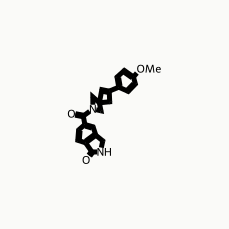 COc1ccc(C2=CC3(C2)CN(C(=O)c2ccc4c(c2)CNC4=O)C3)cc1